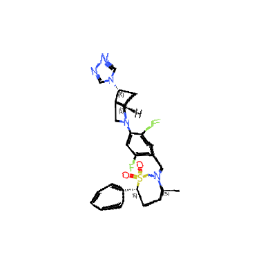 C[C@H]1CC[C@H](c2ccccc2)S(=O)(=O)N1Cc1cc(F)c(N2CC3[C@H](n4cnnc4)C[C@@H]32)cc1F